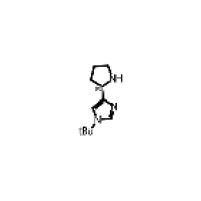 CC(C)(C)n1cnc([C@H]2CCCN2)c1